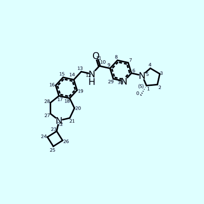 C[C@H]1CCCN1c1ccc(C(=O)NCc2ccc3c(c2)CCN(C2CCC2)CC3)cn1